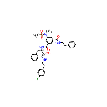 CN(c1cc(C(=O)NCCc2ccccc2)cc(C(=O)N[C@@H](Cc2ccccc2)[C@H](O)CNCCc2ccc(F)cc2)c1)S(C)(=O)=O